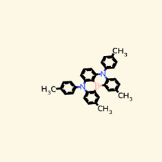 Cc1ccc(N2c3ccc(C)cc3B3c4cc(C)ccc4N(c4ccc(C)cc4)c4cccc2c43)cc1